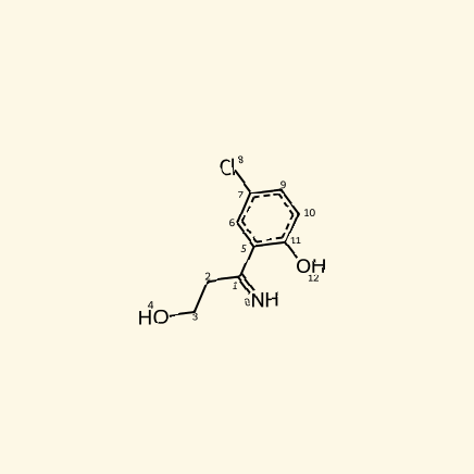 N=C(CCO)c1cc(Cl)ccc1O